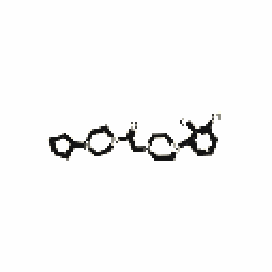 O=C(CN1CCN(c2cccc(Cl)c2Cl)CC1)N1CCN(C2CCCC2)CC1